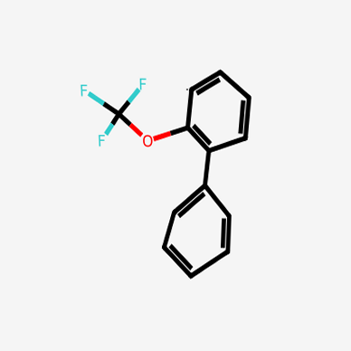 FC(F)(F)Oc1[c]cccc1-c1ccccc1